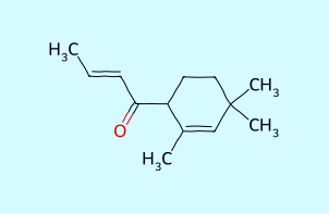 CC=CC(=O)C1CCC(C)(C)C=C1C